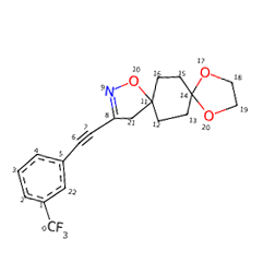 FC(F)(F)c1cccc(C#CC2=NOC3(CCC4(CC3)OCCO4)C2)c1